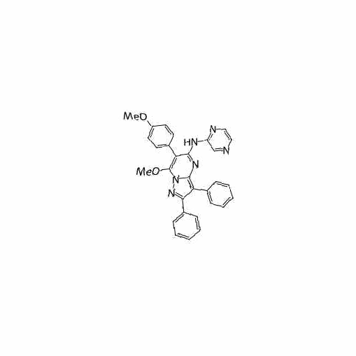 COc1ccc(-c2c(Nc3cnccn3)nc3c(-c4ccccc4)c(-c4ccccc4)nn3c2OC)cc1